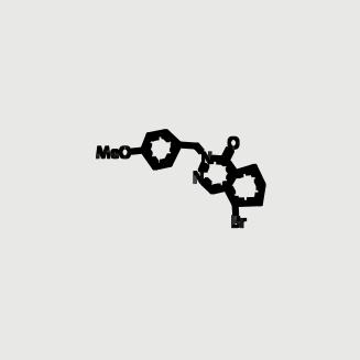 COc1ccc(Cn2ncc3c(Br)cccc3c2=O)cc1